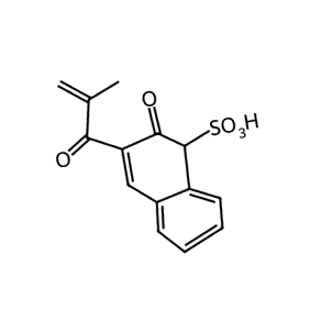 C=C(C)C(=O)C1=Cc2ccccc2C(S(=O)(=O)O)C1=O